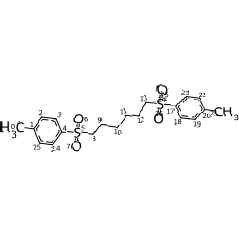 Cc1ccc(S(=O)(=O)CCCCCCS(=O)(=O)c2ccc(C)cc2)cc1